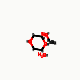 C1COCCO1.CCCCO.O